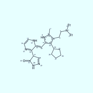 CCN(CC)CCc1c(C)[nH]c(C=C2NC=CN=C2C2C=NNC2=O)c1C1CCCC1